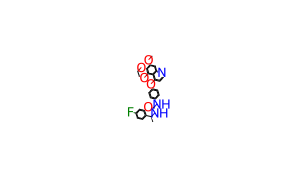 COc1cc2nccc(Oc3ccc(NC(=O)N[C@@H](C)c4ccc(F)cc4)cc3)c2c2c1OCCO2